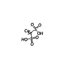 O=S(=O)(O)[Se]S(=O)(=O)O.[Co]